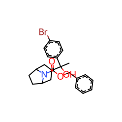 CC(O)(c1ccc(Br)cc1)C1CC2CCC(C1)N2C(=O)OCc1ccccc1